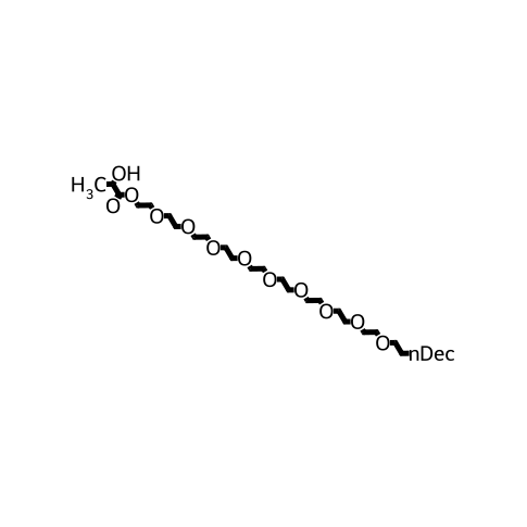 CCCCCCCCCCCCOCCOCCOCCOCCOCCOCCOCCOCCOCCOC(=O)C(C)O